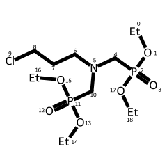 CCOP(=O)(CN(CCCCl)CP(=O)(OCC)OCC)OCC